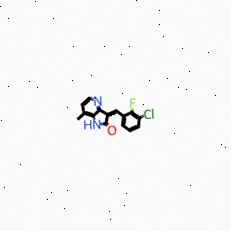 Cc1ccnc2c1NC(=O)C2=Cc1cccc(Cl)c1F